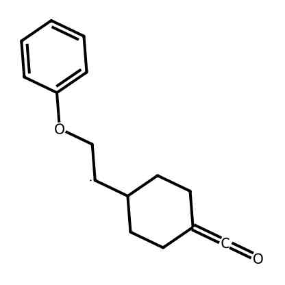 O=C=C1CCC([CH]COc2ccccc2)CC1